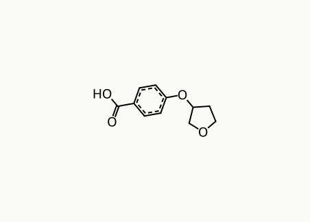 O=C(O)c1ccc(OC2CCOC2)cc1